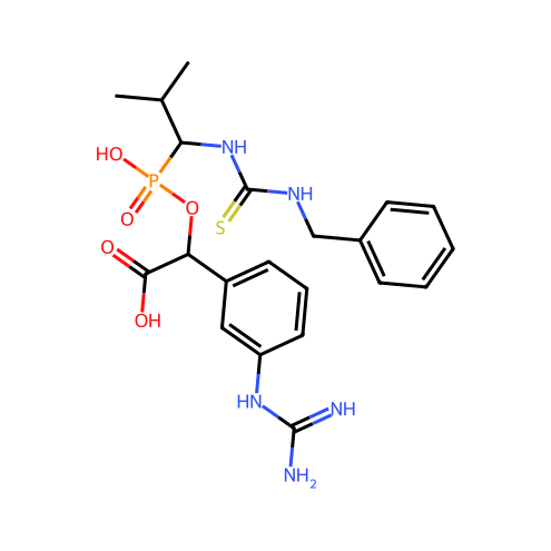 CC(C)C(NC(=S)NCc1ccccc1)P(=O)(O)OC(C(=O)O)c1cccc(NC(=N)N)c1